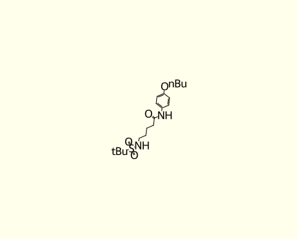 CCCCOc1ccc(NC(=O)CCCCNS(=O)(=O)C(C)(C)C)cc1